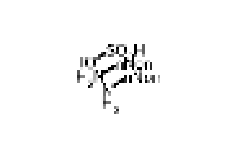 CCCCCCCCCN.CCCCCCCCCN.O=S(=O)(O)O